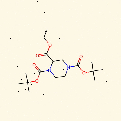 CCOC(=O)C1CN(C(=O)OC(C)(C)C)CCN1C(=O)OC(C)(C)C